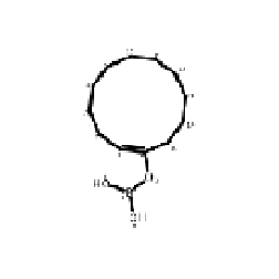 OB(O)OC1=CCCCCCCCCCC1